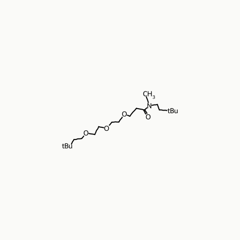 CN(CCC(C)(C)C)C(=O)CCOCCOCCOCCC(C)(C)C